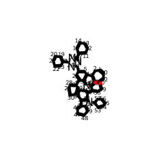 C1#CCC(c2cc(-c3nc(-c4ccccc4)nc(-c4ccccc4)n3)cc(-c3ccccc3)c2-n2c3c(c4ccccc42)-c2c(c4ccccc4n2C2C=CC=CC2)CC3)=CC=C1